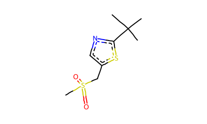 CC(C)(C)c1ncc(CS(C)(=O)=O)s1